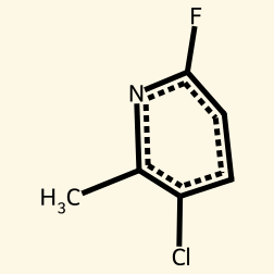 Cc1nc(F)ccc1Cl